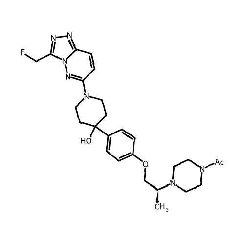 CC(=O)N1CCN([C@@H](C)COc2ccc(C3(O)CCN(c4ccc5nnc(CF)n5n4)CC3)cc2)CC1